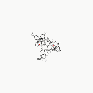 CC[C@H]1OC(=O)[C@H](C)[C@@H](O[C@H]2C[C@@](C)(OC)[C@@H](O)[C@H](C)O2)[C@H](C)[C@@H](O[C@@H]2O[C@H](C)C[C@H](N(C)C)[C@H]2OC(=O)[C@@H](C)OC(=O)[C@H](CSC(c2ccccc2)(c2ccc(OC)cc2)c2ccc(OC)cc2)NC(C)=O)[C@](C)(O)C[C@@H](C)CN(C)[C@H](C)[C@@H](O)[C@]1(C)O